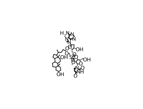 CO[C@H]1C(OP(=O)(OC[C@H]2O[C@@H](n3cnc4c(N)ncnc43)C[C@H]2O)SCOC(=O)CCC(C)C2CCC3C4CCC5CC(O)CCC5(C)C4CC(O)C23C)[C@@H](CO)O[C@H]1n1ccc(=O)[nH]c1=O